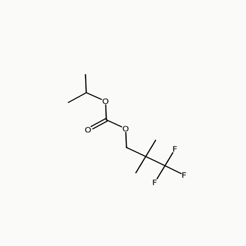 CC(C)OC(=O)OCC(C)(C)C(F)(F)F